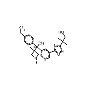 CN1CC(C)([C@](O)(c2ccc(CC(F)(F)F)cc2)c2cncc(-c3nc(C(C)(C)CO)no3)c2)C1